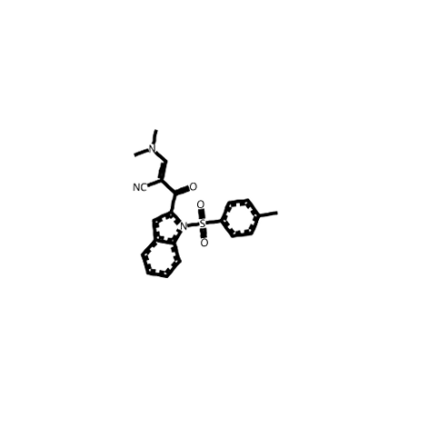 Cc1ccc(S(=O)(=O)n2c(C(=O)/C(C#N)=C/N(C)C)cc3ccccc32)cc1